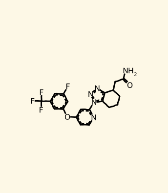 NC(=O)CC1CCCc2c1nnn2-c1cc(Oc2cc(F)cc(C(F)(F)F)c2)ccn1